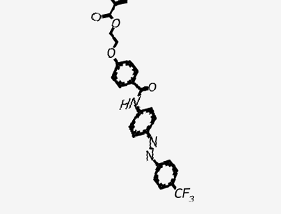 C=C(C)C(=O)OCCOc1ccc(C(=O)Nc2ccc(/N=N/c3ccc(C(F)(F)F)cc3)cc2)cc1